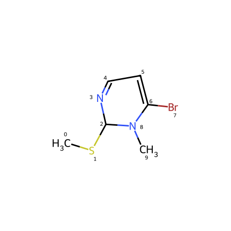 CSC1N=CC=C(Br)N1C